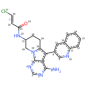 Nc1ncnc2c1c(-c1cnc3ccccc3c1)c1n2CC(NC(=O)/C=C/Cl)CC1